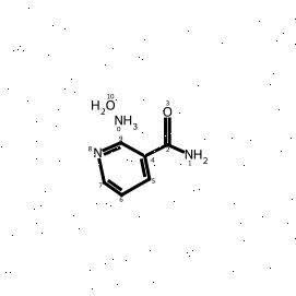 N.NC(=O)c1cccnc1.O